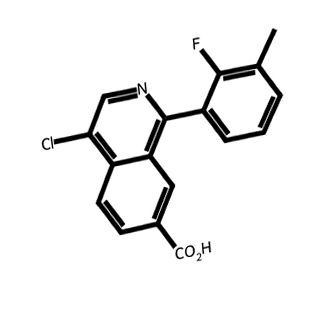 Cc1cccc(-c2ncc(Cl)c3ccc(C(=O)O)cc23)c1F